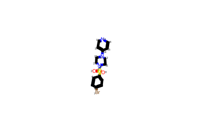 O=S(=O)(c1ccc(Br)cc1)N1CCN(c2ccncc2)CC1